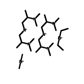 CC(C[N-]CC(C)N(C)C)N(C)C.CC(C[N-]CC(C)N(C)C)N(C)C.C[CH2][In+][CH2]C.[CH3][In+][CH3]